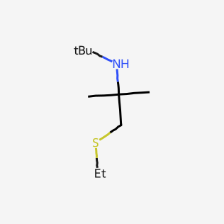 CCSCC(C)(C)NC(C)(C)C